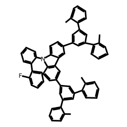 Cc1ccccc1-c1cc(-c2ccc3c(c2)c2cc(-c4cc(-c5ccccc5C)cc(-c5ccccc5C)c4)ccc2n3-c2ccccc2-c2ccccc2F)cc(-c2ccccc2C)c1